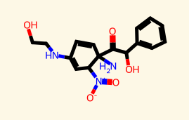 NC1(C(=O)C(O)c2ccccc2)C=CC(NCCO)=CC1[N+](=O)[O-]